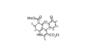 CCOC(=O)C1=C(C)NC2=C(C(=O)C(C(=O)OC)C(C)C2)C1c1cccc(Cl)c1